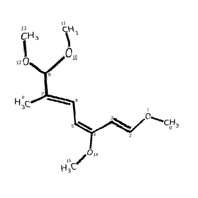 CO/C=C/C(=C\C=C(/C)C(OC)OC)OC